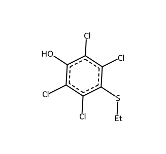 CCSc1c(Cl)c(Cl)c(O)c(Cl)c1Cl